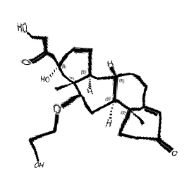 C[C@]12CCC(=O)C=C1CC[C@@H]1[C@@H]2CC(OCCO)[C@@]2(C)[C@H]1CC[C@]2(O)C(=O)CO